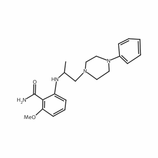 COc1cccc(NC(C)CN2CCN(c3ccccc3)CC2)c1C(N)=O